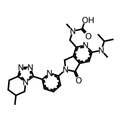 CC1CCc2nnc(-c3cccc(N4Cc5c(cc(N(C)C(C)C)nc5CN(C)C(=O)O)C4=O)n3)n2C1